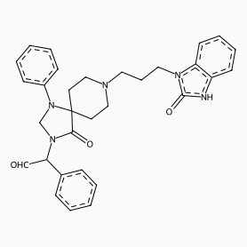 O=CC(c1ccccc1)N1CN(c2ccccc2)C2(CCN(CCCn3c(=O)[nH]c4ccccc43)CC2)C1=O